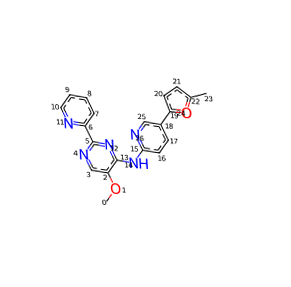 COc1cnc(-c2ccccn2)nc1Nc1ccc(-c2ccc(C)o2)cn1